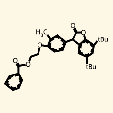 Cc1cc(C2C(=O)Oc3c2cc(C(C)(C)C)cc3C(C)(C)C)ccc1OCCOC(=O)c1ccccc1